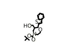 CC(C)(C)OC(=O)N1CCOC(c2cc3ccccc3s2)C(CO)C1